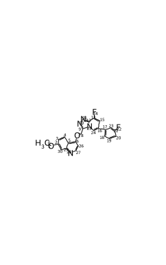 COc1ccc2c(OCc3nnc4c(F)cc(-c5cccc(F)c5)cn34)ccnc2c1